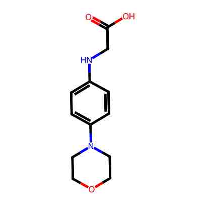 O=C(O)CNc1ccc(N2CCOCC2)cc1